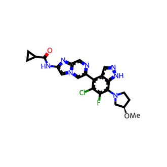 CO[C@@H]1CCN(c2c(F)c(Cl)c(-c3cn4cc(NC(=O)C5CC5)nc4cn3)c3cn[nH]c23)C1